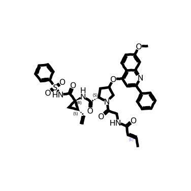 C=C[C@@H]1C[C@]1(NC(=O)[C@@H]1CC(Oc2cc(-c3ccccc3)nc3cc(OC)ccc23)CN1C(=O)CNC(=O)/C=C/C)C(=O)NS(=O)(=O)c1ccccc1